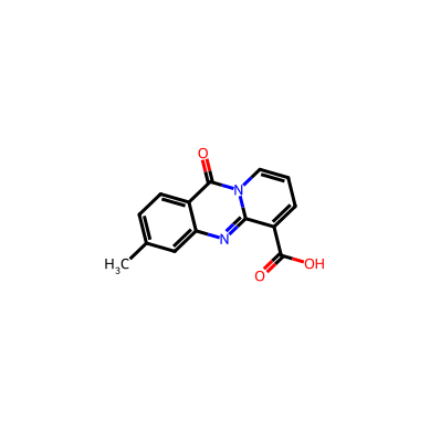 Cc1ccc2c(=O)n3cccc(C(=O)O)c3nc2c1